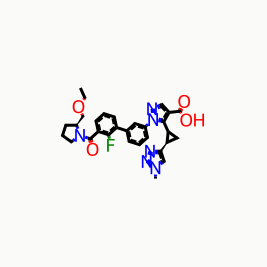 CCOC[C@@H]1CCCN1C(=O)c1cccc(-c2cccc(-n3ncc(C(=O)O)c3C3C[C@H]3c3cn(C)nn3)c2)c1F